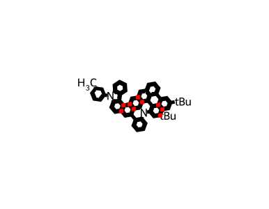 CC1C=CC=C(n2c3ccccc3c3c(-c4cccc(N(c5ccccc5-c5ccccc5)c5ccccc5-c5cccc6cccc(-c7cc(C(C)(C)C)cc(C(C)(C)C)c7)c56)c4)cccc32)C1